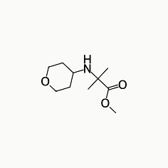 COC(=O)C(C)(C)NC1CCOCC1